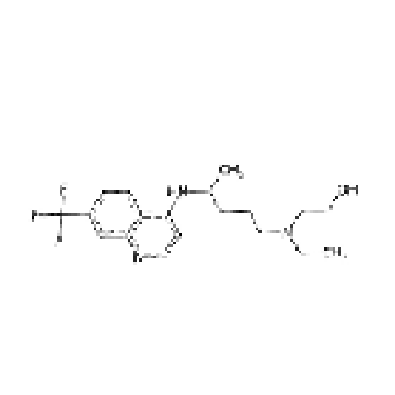 CCN(CCO)CCCC(C)Nc1ccnc2cc(C(F)(F)F)ccc12